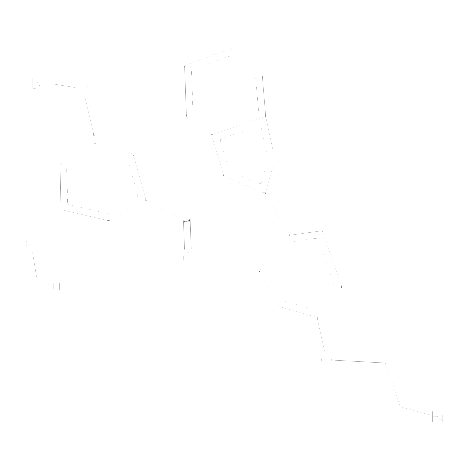 CC(C)(C)Oc1cc(OC(C)(C)C)cc(C(=O)c2c(-c3ccc(OCCBr)cc3)oc3ccccc23)c1